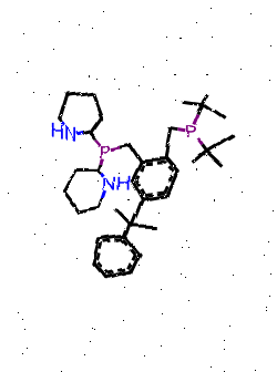 CC(C)(c1ccccc1)c1ccc(CP(C(C)(C)C)C(C)(C)C)c(CP(C2CCCCN2)C2CCCCN2)c1